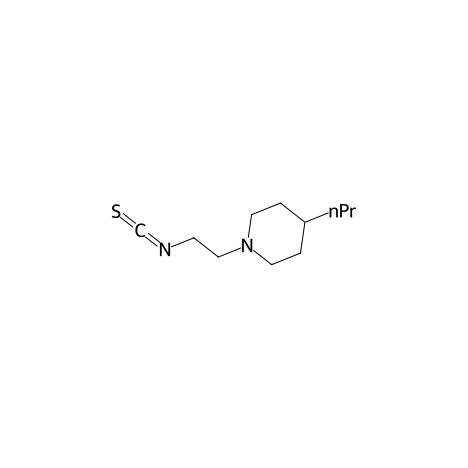 CCCC1CCN(CCN=C=S)CC1